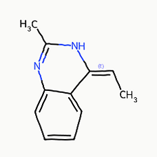 C/C=C1/NC(C)=Nc2ccccc21